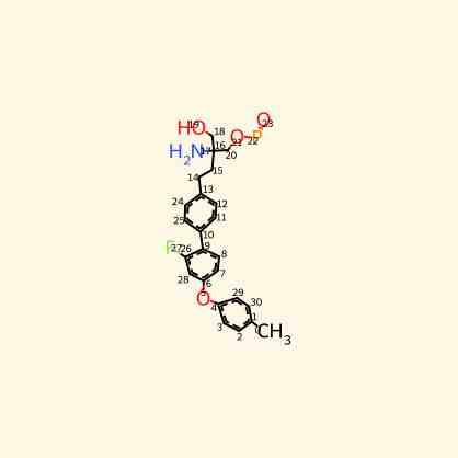 Cc1ccc(Oc2ccc(-c3ccc(CCC(N)(CO)COP=O)cc3)c(F)c2)cc1